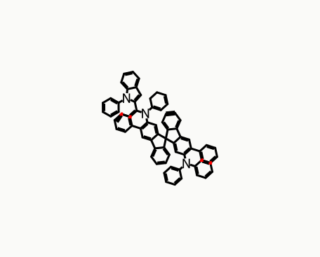 C=C/C=C(\c1cc2ccccc2n1-c1ccccc1)N(C1=CC=CCC1)c1cc2c(cc1-c1ccccc1)-c1ccccc1C21c2cc#ccc2-c2cc(-c3ccccc3)c(N(c3ccccc3)c3ccccc3)cc21